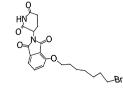 O=C1CCC(N2C(=O)c3cccc(OCCCCCCCBr)c3C2=O)C(=O)N1